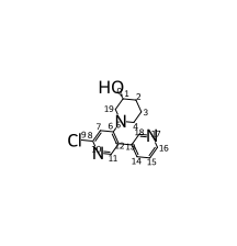 O[C@H]1CCCN(c2cc(Cl)ncc2-c2cccnc2)C1